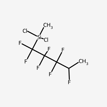 CC(F)C(F)(F)C(F)(F)C(F)(F)[Si](C)(Cl)Cl